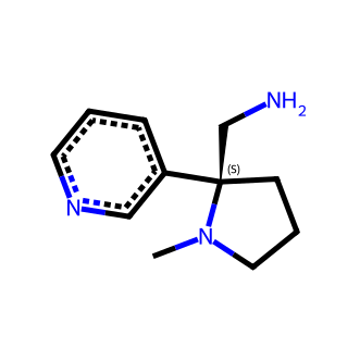 CN1CCC[C@@]1(CN)c1cccnc1